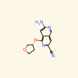 N#Cc1cc2cnc(N)cc2c(O[C@@H]2CCOC2)n1